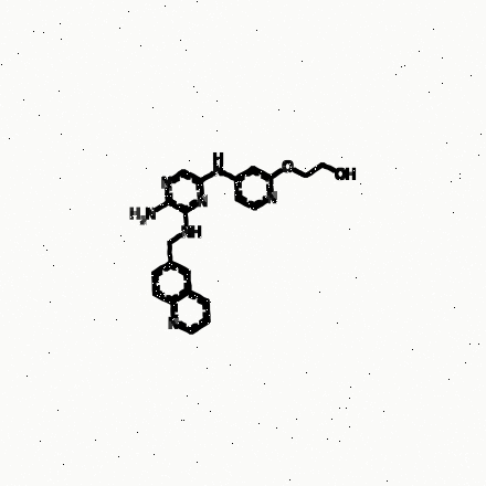 Nc1ncc(Nc2ccnc(OCCO)c2)nc1NCc1ccc2ncccc2c1